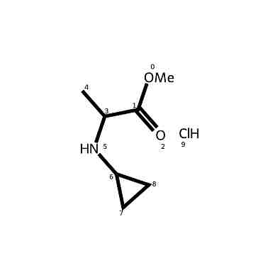 COC(=O)C(C)NC1CC1.Cl